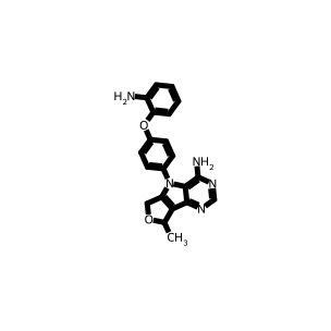 CC1OCc2c1c1ncnc(N)c1n2-c1ccc(Oc2ccccc2N)cc1